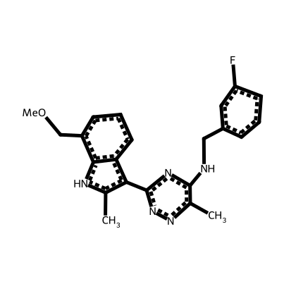 COCc1cccc2c(-c3nnc(C)c(NCc4cccc(F)c4)n3)c(C)[nH]c12